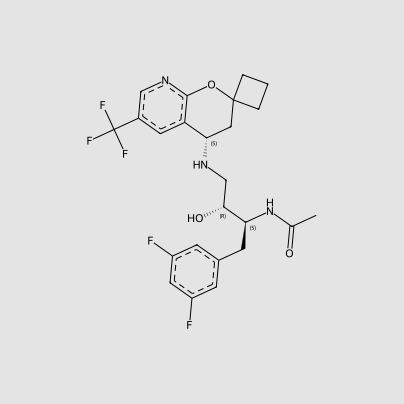 CC(=O)N[C@@H](Cc1cc(F)cc(F)c1)[C@H](O)CN[C@H]1CC2(CCC2)Oc2ncc(C(F)(F)F)cc21